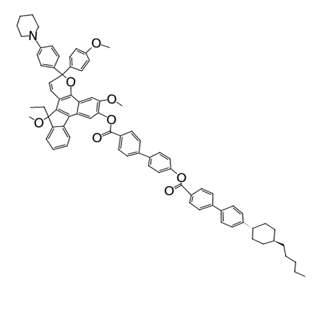 CCCCC[C@H]1CC[C@H](c2ccc(-c3ccc(C(=O)Oc4ccc(-c5ccc(C(=O)Oc6cc7c8c(c9c(c7cc6OC)OC(c6ccc(OC)cc6)(c6ccc(N7CCCCC7)cc6)C=C9)C(CC)(OC)c6ccccc6-8)cc5)cc4)cc3)cc2)CC1